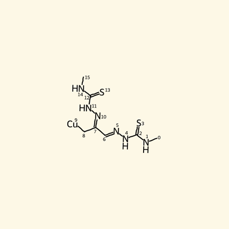 CNC(=S)NN=CC([CH2][Cu])=NNC(=S)NC